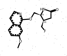 COc1ccc2ccnc(OC[C@H]3NC(=O)C[C@H]3CF)c2c1